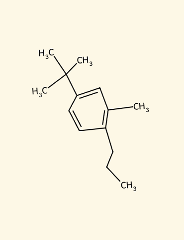 CCCc1ccc(C(C)(C)C)cc1C